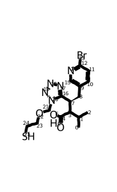 CC(C)C(C(=O)O)[C@H](Cc1ccc(Br)nc1)c1nnnn1COCCS